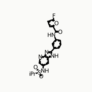 CC(C)S(=O)(=O)Nc1cnc2nc(-c3cccc(NC(=O)c4ccc(F)o4)c3)[nH]c2c1